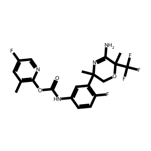 Cc1cc(F)cnc1OC(=O)Nc1ccc(F)c(C2(C)COC(C)(C(F)(F)F)C(N)=N2)c1